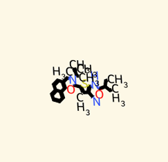 CCC(CC)C(=O)Nc1sc(C(=O)N(Cc2ccc3ccccc3c2)C(C)C(C)(C)C)c(C)c1C#N